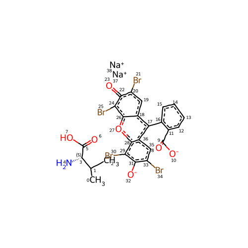 CC(C)[C@H](N)C(=O)O.O=C([O-])c1ccccc1-c1c2cc(Br)c(=O)c(Br)c-2oc2c(Br)c([O-])c(Br)cc12.[Na+].[Na+]